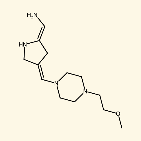 COCCN1CCN(/C=C2/CN/C(=C\N)C2)CC1